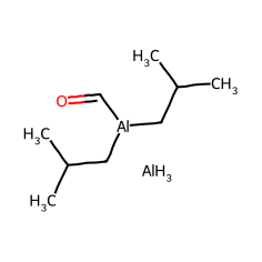 CC(C)[CH2][Al]([CH]=O)[CH2]C(C)C.[AlH3]